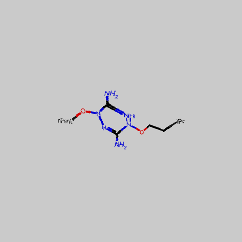 CCCCCON(N=C(N)NOCCC(C)C)C(=N)N